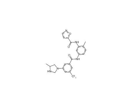 Cc1ccc(NC(=O)c2cc(N3CNC(C)C3)cc(C(F)(F)F)c2)cc1NC(=O)c1ccno1